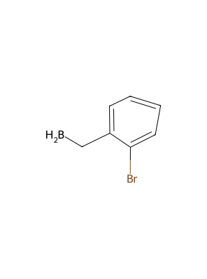 BCc1ccccc1Br